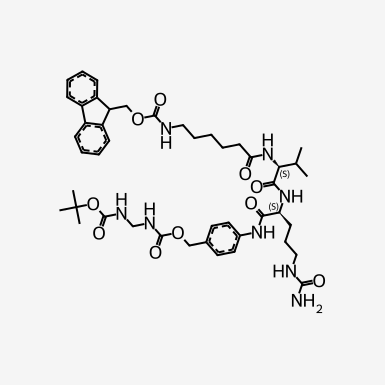 CC(C)[C@H](NC(=O)CCCCCNC(=O)OCC1c2ccccc2-c2ccccc21)C(=O)N[C@@H](CCCNC(N)=O)C(=O)Nc1ccc(COC(=O)NCNC(=O)OC(C)(C)C)cc1